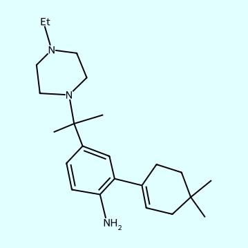 CCN1CCN(C(C)(C)c2ccc(N)c(C3=CCC(C)(C)CC3)c2)CC1